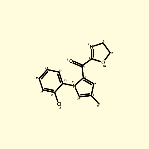 Cc1cc(C(=O)C2=NCCO2)n(-c2ccccc2Cl)c1